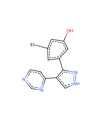 CCc1cc(O)cc(-c2n[nH]cc2-c2ccncn2)c1